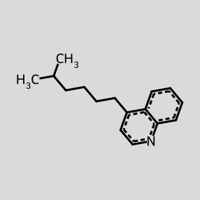 CC(C)CCCCc1ccnc2ccccc12